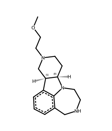 COCCN1CC[C@@H]2[C@H](C1)c1cccc3c1N2CCNC3